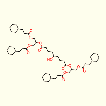 O=C(CCC1CCCCC1)OCC(COC(=O)CCC1CCCCC1)OC(=O)CCCC(O)CCCC(=O)OC(COC(=O)CCC1CCCCC1)COC(=O)CCC1CCCCC1